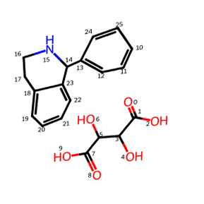 O=C(O)C(O)C(O)C(=O)O.c1ccc(C2NCCc3ccccc32)cc1